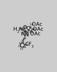 CC(=O)OC[C@H]1O[C@@H](n2nc(C#Cc3ccccc3C(F)(F)F)nc2C(N)=O)[C@H](OC(C)=O)[C@@H]1OC(C)=O